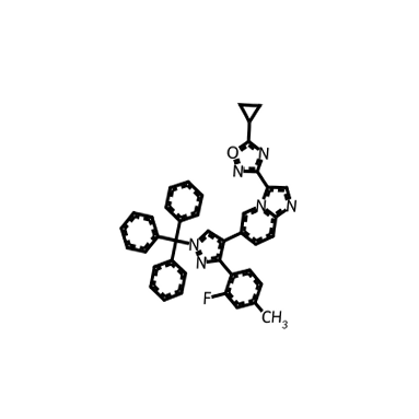 Cc1ccc(-c2nn(C(c3ccccc3)(c3ccccc3)c3ccccc3)cc2-c2ccc3ncc(-c4noc(C5CC5)n4)n3c2)c(F)c1